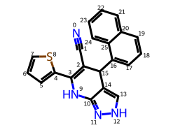 N#CC1=C(c2cccs2)Nc2n[nH]cc2C1c1cccc2ccccc12